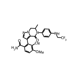 COc1ccc(C(N)=O)c(-c2cnn3c2C(=O)N(c2ccc(NCC(F)(F)F)cc2)C(C)C3)c1C#N